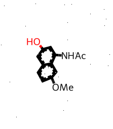 COc1ccc2cc(O)cc(NC(C)=O)c2c1